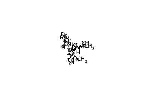 CCOc1ncccc1-c1ccc(C2(OC(=O)NCCN(C)C)CCN(c3ccc(C(F)(F)F)cc3C#N)CC2)cc1